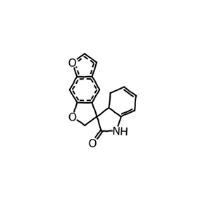 O=C1NC2=CC=CCC2C12COc1cc3occc3cc12